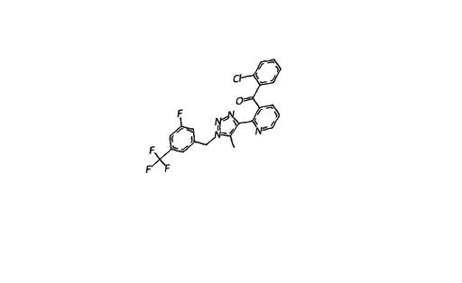 Cc1c(-c2ncccc2C(=O)c2ccccc2Cl)nnn1Cc1cc(F)cc(C(F)(F)F)c1